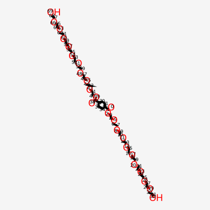 O=C(OCCOCCOCCOCCOCCOCCOCCOCCOCCOCCO)c1ccc(C(=O)OCCOCCOCCOCCOCCOCCOCCOCCOCCOCCO)cc1